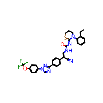 CCc1ccccc1N1CCCS/C1=N\C(=O)N/C=C(\C#N)c1ccc(-c2ncn(-c3ccc(OC(F)(F)F)cc3)n2)cc1